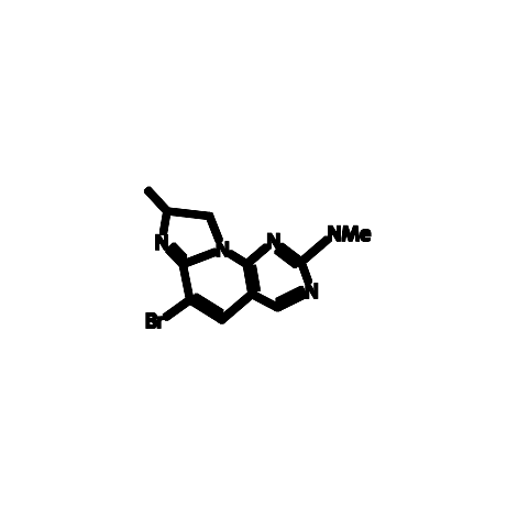 CNc1ncc2c(n1)N1CC(C)N=C1C(Br)=C2